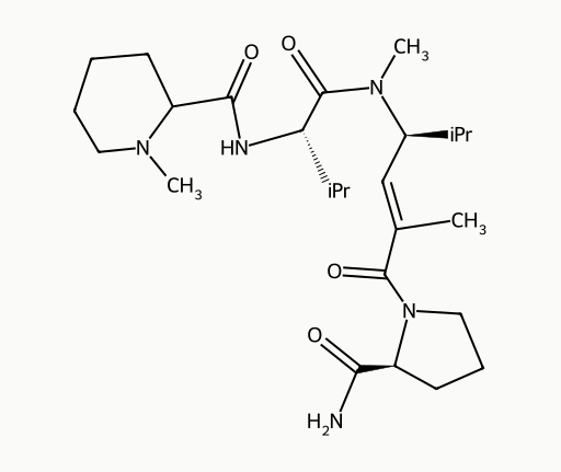 C/C(=C\[C@H](C(C)C)N(C)C(=O)[C@@H](NC(=O)C1CCCCN1C)C(C)C)C(=O)N1CCC[C@H]1C(N)=O